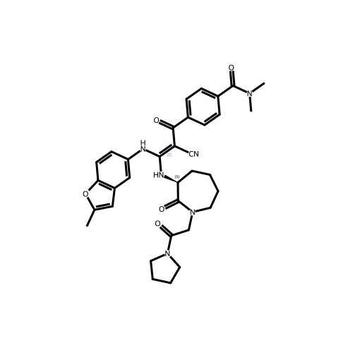 Cc1cc2cc(N/C(N[C@H]3CCCCN(CC(=O)N4CCCC4)C3=O)=C(/C#N)C(=O)c3ccc(C(=O)N(C)C)cc3)ccc2o1